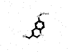 CCCCCOc1ccc2c(c1)C=C(CBr)CO2